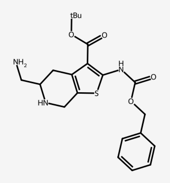 CC(C)(C)OC(=O)c1c(NC(=O)OCc2ccccc2)sc2c1CC(CN)NC2